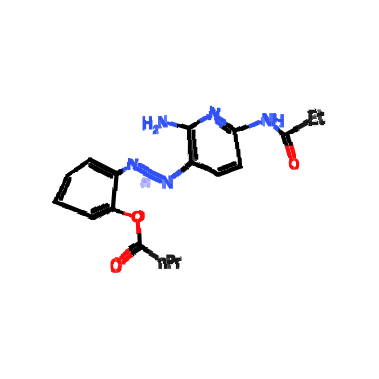 CCCC(=O)Oc1ccccc1/N=N/c1ccc(NC(=O)CC)nc1N